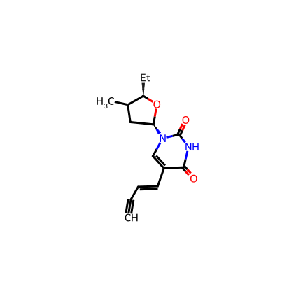 C#C/C=C/c1cn([C@H]2CC(C)[C@@H](CC)O2)c(=O)[nH]c1=O